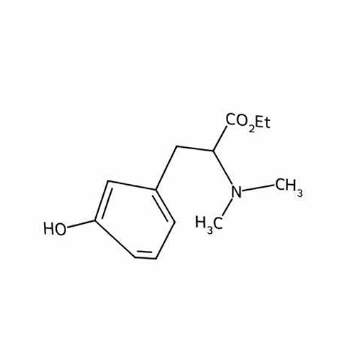 CCOC(=O)C(Cc1cccc(O)c1)N(C)C